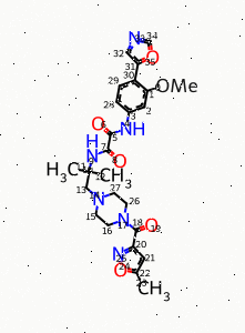 COc1cc(NC(=O)C(=O)NC(C)(C)CN2CCN(C(=O)c3cc(C)on3)CC2)ccc1-c1cnco1